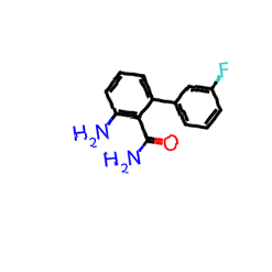 NC(=O)c1c(N)cccc1-c1cccc(F)c1